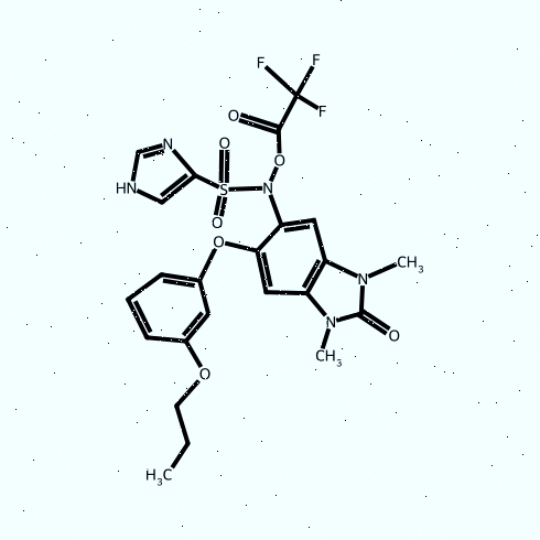 CCCOc1cccc(Oc2cc3c(cc2N(OC(=O)C(F)(F)F)S(=O)(=O)c2c[nH]cn2)n(C)c(=O)n3C)c1